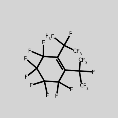 FC(F)(F)C(F)(C1=C(C(F)(C(F)(F)F)C(F)(F)F)C(F)(F)C(F)(F)C(F)(F)C1(F)F)C(F)(F)F